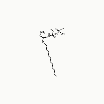 CCC(=O)O.CCC(=O)ON.CCCCCCCCCCCC.O=P(O)(O)O